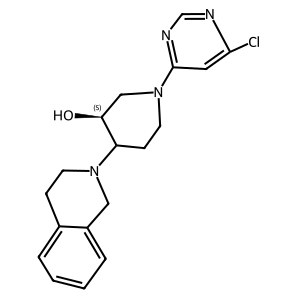 O[C@H]1CN(c2cc(Cl)ncn2)CCC1N1CCc2ccccc2C1